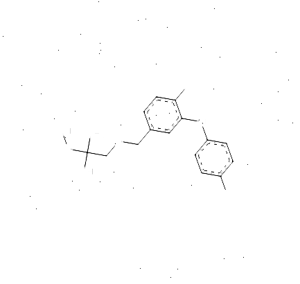 COC(C)(C)COCc1ccc(F)c(Nc2ccc(C)cc2)c1